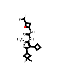 Cn1nc(C2CC(F)(F)C2)c(C2CCC2)c1NC(=O)NC12CC(C(F)F)(C1)C2